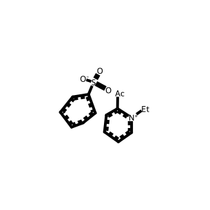 CC[n+]1ccccc1C(C)=O.O=S(=O)([O-])c1ccccc1